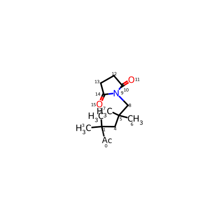 CC(=O)C(C)(C)CC(C)(C)CN1C(=O)CCC1=O